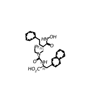 CC(C)CN(C[C@H](CCc1ccccc1)C(=O)NO)C(=O)N[C@@H](Cc1ccc2ccccc2c1)C(=O)O